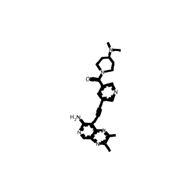 Cc1nc2cnc(N)c(C#Cc3cncc(C(=O)N4CCC(N(C)C)CC4)c3)c2nc1C